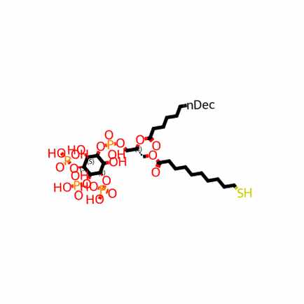 CCCCCCCCCCCCCCCC(=O)O[C@H](COC(=O)CCCCCCCCCS)COP(=O)(O)OC1C(O)[C@@H](OP(=O)(O)O)C(OP(=O)(O)O)[C@@H](OP(=O)(O)O)[C@H]1O